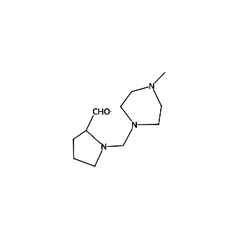 CN1CCN(CN2CCCC2[C]=O)CC1